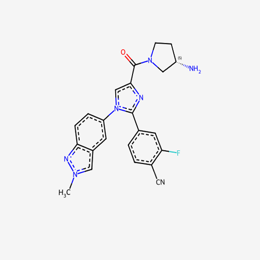 Cn1cc2cc(-n3cc(C(=O)N4CC[C@H](N)C4)nc3-c3ccc(C#N)c(F)c3)ccc2n1